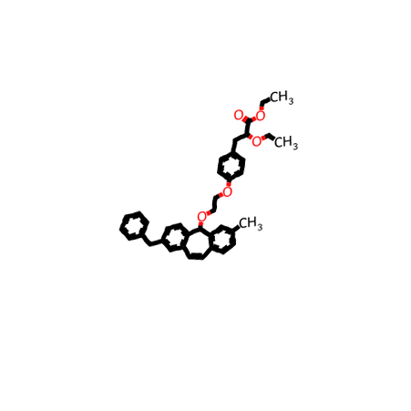 CCOC(=O)C(Cc1ccc(OCCOC2c3ccc(Cc4ccccc4)cc3C=Cc3ccc(C)cc32)cc1)OCC